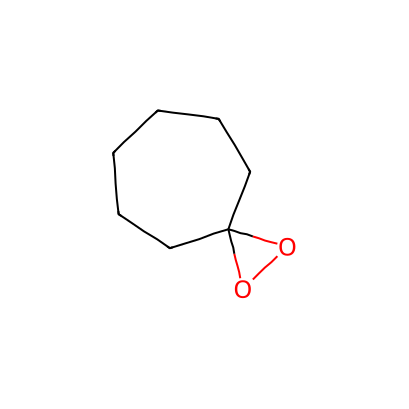 C1CCCC2(CC1)OO2